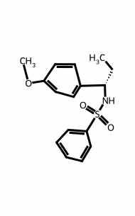 CC[C@H](NS(=O)(=O)c1ccccc1)c1ccc(OC)cc1